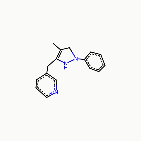 CC1=C(Cc2cccnc2)NN(c2ccccc2)C1